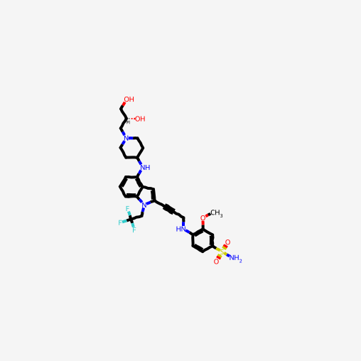 COc1cc(S(N)(=O)=O)ccc1NCC#Cc1cc2c(NC3CCN(C[C@@H](O)CO)CC3)cccc2n1CC(F)(F)F